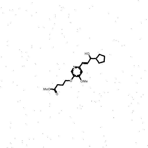 COC(=O)CCCOc1cnc(C=CC(O)C2CCCC2)cc1OC